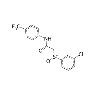 O=C(C[S+]([O-])c1cccc(Cl)c1)Nc1ccc(C(F)(F)F)cc1